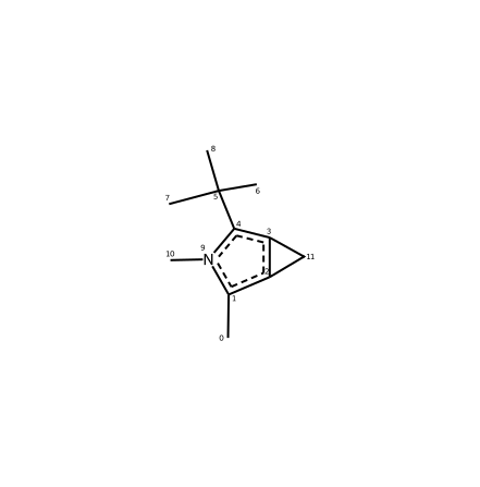 Cc1c2c(c(C(C)(C)C)n1C)C2